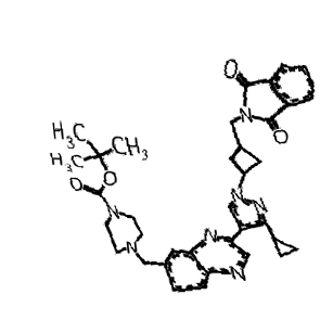 CC(C)(C)OC(=O)N1CCN(Cc2ccc3ncc(-c4cn(C5CC(CN6C(=O)c7ccccc7C6=O)C5)nc4C4CC4)nc3c2)CC1